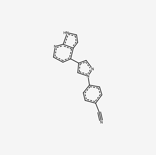 N#Cc1ccc(-n2cc(-c3ccnc4[nH]ccc34)cn2)cc1